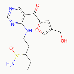 CCC(CCNc1ncncc1C(=O)c1cc(CO)co1)[S+](N)[O-]